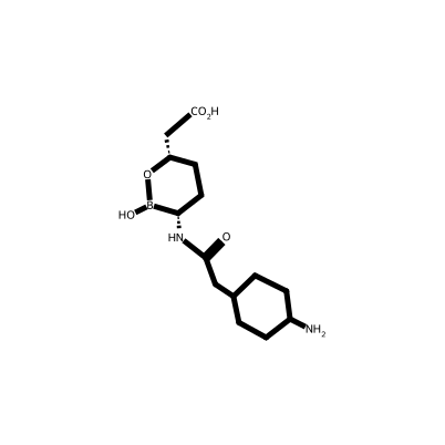 NC1CCC(CC(=O)N[C@H]2CC[C@@H](CC(=O)O)OB2O)CC1